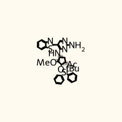 CO[C@@H]1C(O[Si](c2ccccc2)(c2ccccc2)C(C)(C)C)[C@@H](C(C)=O)C[C@H]1Nc1nc(N)ncc1-c1nc2ccccc2s1